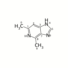 Cc1cc2[nH]cnc2c(C)n1